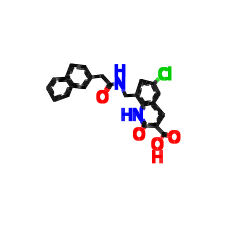 O=C(Cc1ccc2ccccc2c1)NCc1cc(Cl)cc2cc(C(=O)O)c(=O)[nH]c12